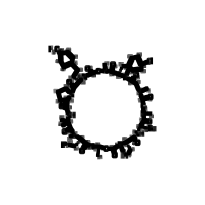 CC[C@H](C)[C@@H]1NC(=O)[C@H](CC(C)C)N(C)C(=O)C[C@@H](C)NC(=O)[C@H](CC(C)C)N(C)C(=O)C(C)(C)NC(=O)[C@@H]2CCCN2C(=O)[C@H](CCc2ccc(C(F)(F)F)cc2)NC(=O)CN(C)C(=O)[C@H](Cc2ccc(Cl)cc2)N(C)C(=O)CN(C)C(=O)CN(C)C1=O